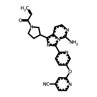 C=CC(=O)N1CCC(c2nc(-c3ccc(Oc4cc(C#N)ccn4)cn3)n3c(N)nccc23)C1